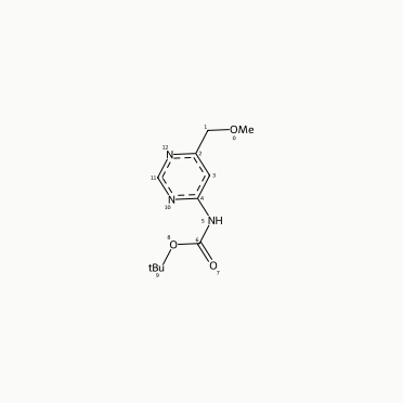 COCc1cc(NC(=O)OC(C)(C)C)ncn1